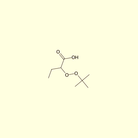 CCC(OOC(C)(C)C)C(=O)O